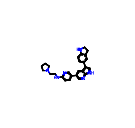 c1cc(NCCN2CCCC2)ncc1-c1cnc2[nH]cc(-c3ccc4c(c3)CCN4)c2c1